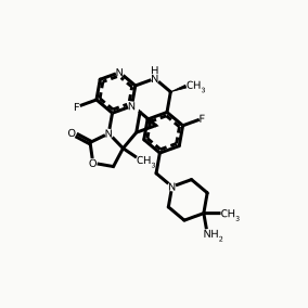 C[C@H](Nc1ncc(F)c(N2C(=O)OCC2(C)C2CC2)n1)c1ccc(CN2CCC(C)(N)CC2)cc1F